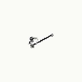 C[C@H](Cn1cnc2c(N)ncnc21)OCP(=O)(O)OCCCSCCCCCCCCCCCCCC[Si](C)(C)C